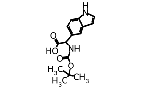 CC(C)(C)OC(=O)NC(C(=O)O)c1ccc2[nH]ccc2c1